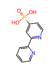 O=P(O)(O)c1ccnc(-c2ccccn2)c1